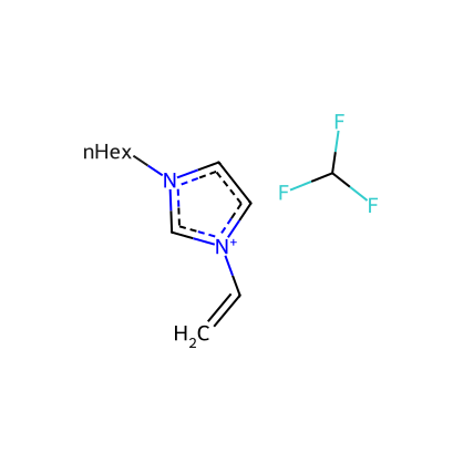 C=C[n+]1ccn(CCCCCC)c1.FC(F)F